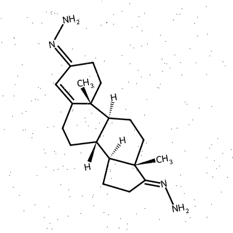 C[C@]12CCC(=NN)C=C1CC[C@@H]1[C@@H]2CC[C@]2(C)C(=NN)CC[C@@H]12